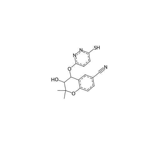 CC1(C)Oc2ccc(C#N)cc2C(Oc2ccc(S)nn2)C1O